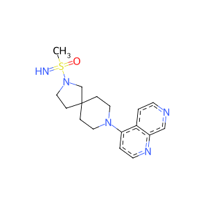 CS(=N)(=O)N1CCC2(CCN(c3ccnc4cnccc34)CC2)C1